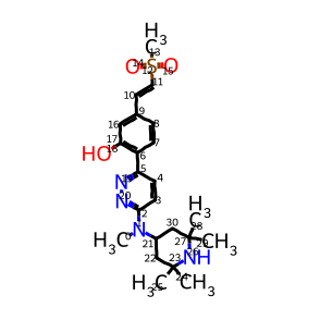 CN(c1ccc(-c2ccc(C=CS(C)(=O)=O)cc2O)nn1)C1CC(C)(C)NC(C)(C)C1